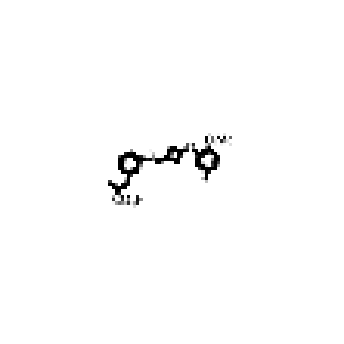 COc1ccc(C)cc1OC1CC(COc2cccc(CC(C)C(=O)O)c2)C1